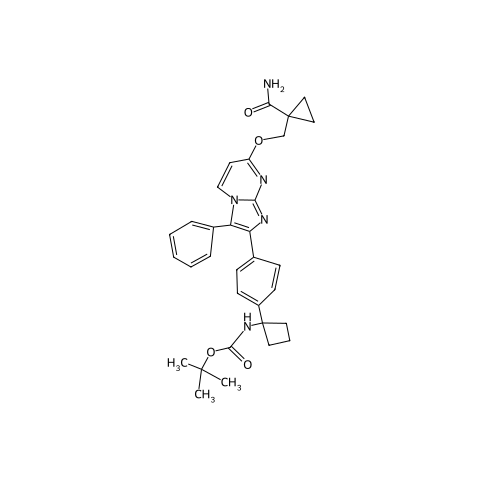 CC(C)(C)OC(=O)NC1(c2ccc(-c3nc4nc(OCC5(C(N)=O)CC5)ccn4c3-c3ccccc3)cc2)CCC1